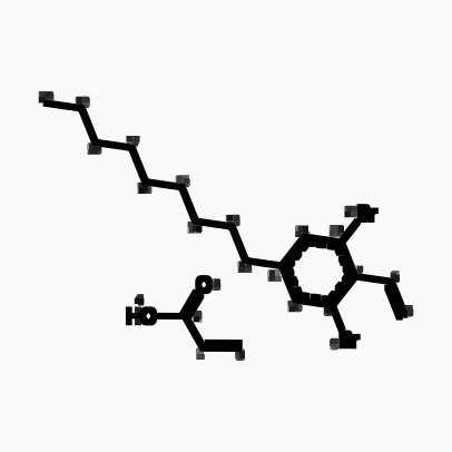 C=CC(=O)O.C=Cc1c(Br)cc(CCCCCCCCC)cc1Br